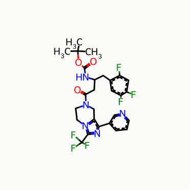 CC(C)(C)OC(=O)NC(CC(=O)N1CCn2c(C(F)(F)F)nc(-c3cccnc3)c2C1)Cc1cc(F)c(F)cc1F